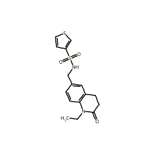 CCN1C(=O)CCc2cc(CNS(=O)(=O)c3ccsc3)ccc21